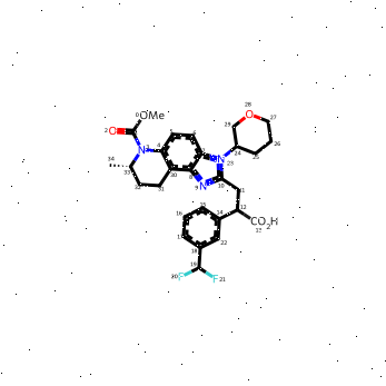 COC(=O)N1c2ccc3c(nc(CC(C(=O)O)c4cccc(C(F)F)c4)n3C3CCCOC3)c2CC[C@@H]1C